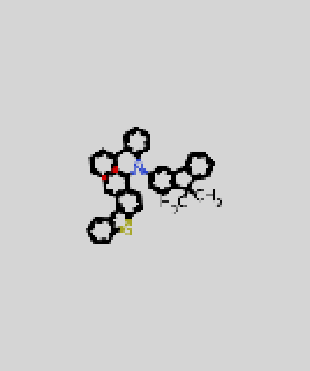 CC1(C)c2ccccc2-c2cc(N(c3ccccc3-c3ccccc3)c3cccc4c3ccc3sc5ccccc5c34)ccc21